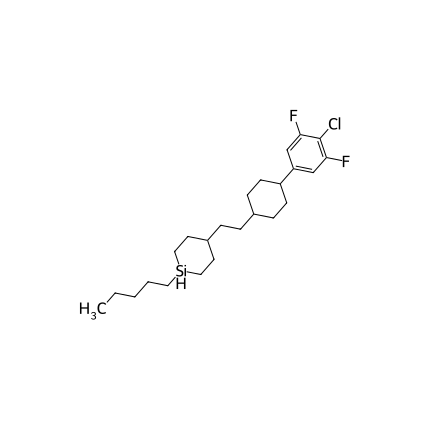 CCCCC[SiH]1CCC(CCC2CCC(c3cc(F)c(Cl)c(F)c3)CC2)CC1